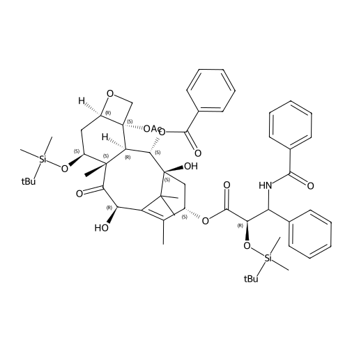 CC(=O)O[C@@]12CO[C@@H]1C[C@H](O[Si](C)(C)C(C)(C)C)[C@@]1(C)C(=O)[C@H](O)C3=C(C)[C@@H](OC(=O)[C@H](O[Si](C)(C)C(C)(C)C)C(NC(=O)c4ccccc4)c4ccccc4)C[C@@](O)([C@@H](OC(=O)c4ccccc4)[C@H]21)C3(C)C